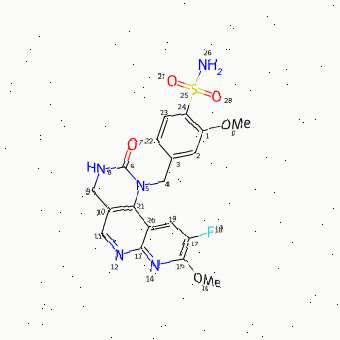 COc1cc(CN2C(=O)NCc3cnc4nc(OC)c(F)cc4c32)ccc1S(N)(=O)=O